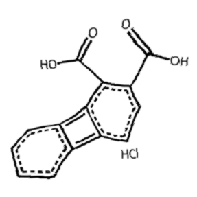 Cl.O=C(O)c1ccc2c(c1C(=O)O)=c1ccccc1=2